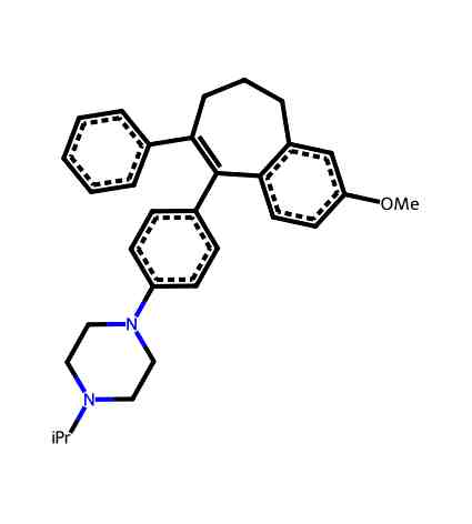 COc1ccc2c(c1)CCCC(c1ccccc1)=C2c1ccc(N2CCN(C(C)C)CC2)cc1